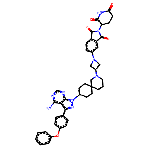 Nc1ncnc2c1c(-c1ccc(Oc3ccccc3)cc1)nn2C1CCC2(CCCN(C3CN(c4ccc5c(c4)C(=O)N(C4CCC(=O)NC4=O)C5=O)C3)C2)CC1